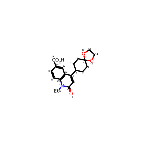 CCn1c(=O)cc(C2CCC3(CC2)OCCO3)c2cc(C(=O)O)ccc21